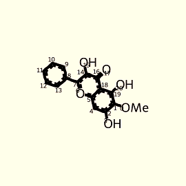 COc1c(O)cc2oc(-c3ccccc3)c(O)c(=O)c2c1O